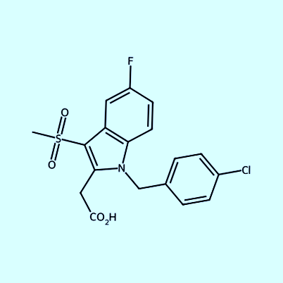 CS(=O)(=O)c1c(CC(=O)O)n(Cc2ccc(Cl)cc2)c2ccc(F)cc12